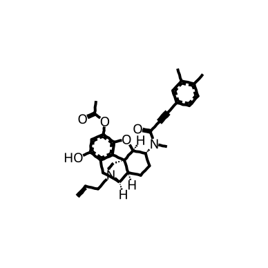 C=CCN1CC[C@]23c4c5c(O)cc(OC(C)=O)c4O[C@H]2[C@H](N(C)C(=O)C#Cc2ccc(C)c(C)c2)CC[C@H]3[C@H]1C5